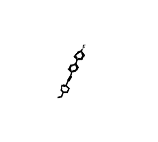 CCC1CC=C(C#Cc2ccc(-c3ccc(F)cc3)cc2)CC1